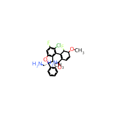 COC1C=CC(C(N)=O)=C(c2c(Cl)c(F)cc3c2[C@H](C)[C@@](CN)(c2ccccc2)O3)C1F